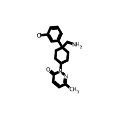 Cc1ccc(=O)n(C2CCC(CN)(c3cccc(Cl)c3)CC2)n1